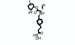 CC(C)C[C@H](NCc1ccc(CCC(=O)NO)cc1)C(=O)O[C@@H]1C[C@H](C)CC[C@H]1C(C)C